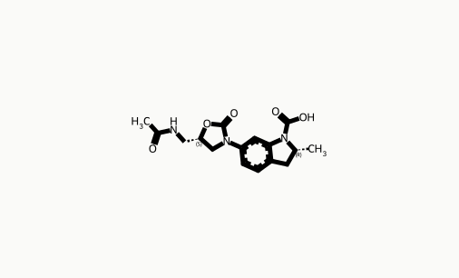 CC(=O)NC[C@H]1CN(c2ccc3c(c2)N(C(=O)O)[C@H](C)C3)C(=O)O1